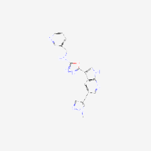 Cn1cc(-c2cnc3[nH]cc(-c4nnc(NCc5cccnc5)o4)c3c2)cn1